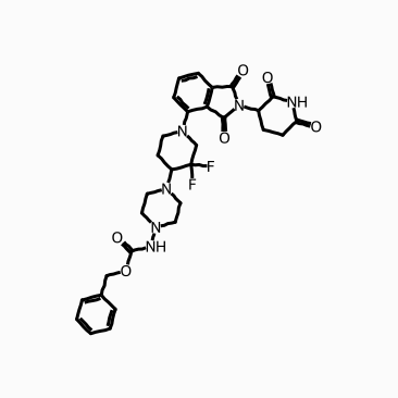 O=C1CCC(N2C(=O)c3cccc(N4CCC(N5CCN(NC(=O)OCc6ccccc6)CC5)C(F)(F)C4)c3C2=O)C(=O)N1